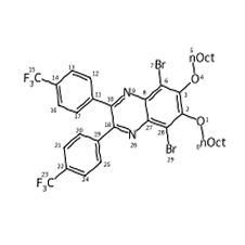 CCCCCCCCOc1c(OCCCCCCCC)c(Br)c2nc(-c3ccc(C(F)(F)F)cc3)c(-c3ccc(C(F)(F)F)cc3)nc2c1Br